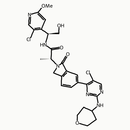 COc1cc([C@@H](CO)NC(=O)[C@@H](C)N2Cc3ccc(-c4nc(NC5CCOCC5)ncc4Cl)cc3C2=O)c(Cl)cn1